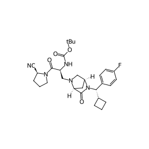 CC(C)(C)OC(=O)N[C@@H](CN1C[C@@H]2C[C@H]1C(=O)N2[C@H](c1ccc(F)cc1)C1CCC1)C(=O)N1CCC[C@H]1C#N